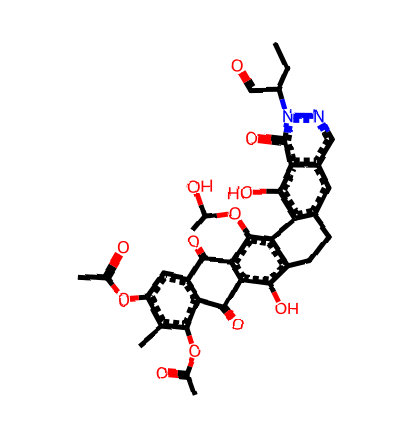 CCC(C=O)n1ncc2cc3c(c(O)c2c1=O)-c1c(c(O)c2c(c1OC(C)O)C(=O)c1cc(OC(C)=O)c(C)c(OC(C)=O)c1C2=O)CC3